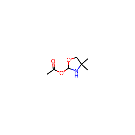 CC(=O)OC1NC(C)(C)CO1